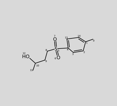 Cc1ccc(S(=O)(=O)CCC(C)O)cc1